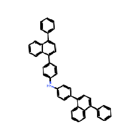 c1ccc(-c2ccc(-c3ccc(Nc4ccc(-c5ccc(-c6ccccc6)c6ccccc56)cc4)cc3)c3ccccc23)cc1